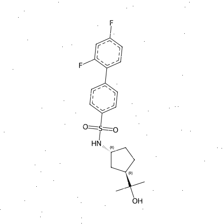 CC(C)(O)[C@@H]1CC[C@@H](NS(=O)(=O)c2ccc(-c3ccc(F)cc3F)cc2)C1